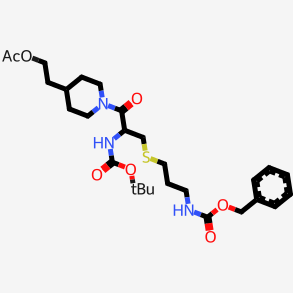 CC(=O)OCCC1CCN(C(=O)C(CSCCCNC(=O)OCc2ccccc2)NC(=O)OC(C)(C)C)CC1